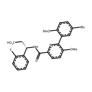 COc1ccc(C(C)(C)C)cc1-c1nc(C(=O)N[C@@H](CC(=O)O)c2ccccc2F)ccc1OC